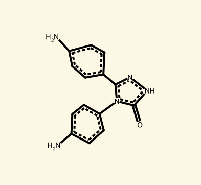 Nc1ccc(-c2n[nH]c(=O)n2-c2ccc(N)cc2)cc1